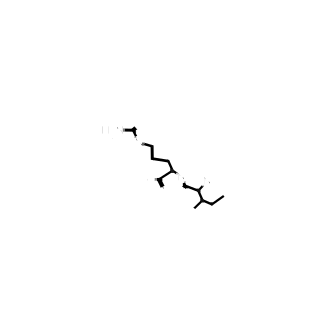 CCC(C)C(N)C(=O)NC(CCCNC(N)=O)C(=O)O